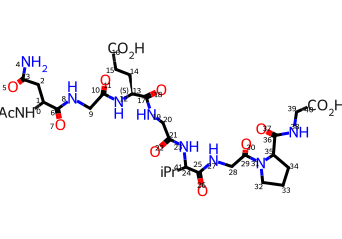 CC(=O)NC(CC(N)=O)C(=O)NCC(=O)N[C@@H](CCC(=O)O)C(=O)NCC(=O)NC(C(=O)NCC(=O)N1CCCC1C(=O)NCC(=O)O)C(C)C